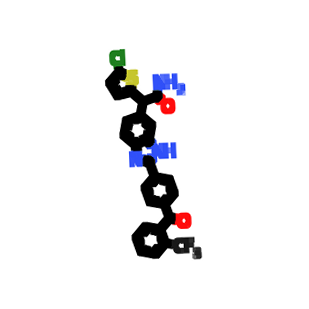 NC(=O)C(c1ccc2nc(-c3ccc(C(=O)c4ccccc4C(F)(F)F)cc3)[nH]c2c1)c1ccc(Cl)s1